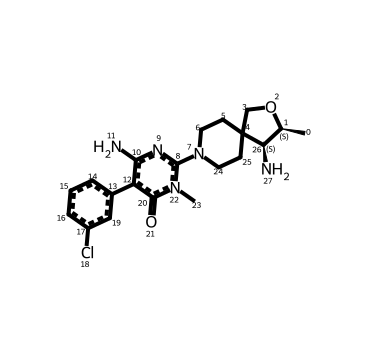 C[C@@H]1OCC2(CCN(c3nc(N)c(-c4cccc(Cl)c4)c(=O)n3C)CC2)[C@@H]1N